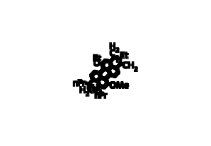 C=C(CCC)c1ccc2c3c(OCC)cc4c5c(ccc(c6c(OC)cc(C(=C)CCC)c1c26)c53)C(=C)N(CC)C4=C